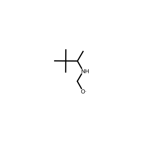 CC(NC[O])C(C)(C)C